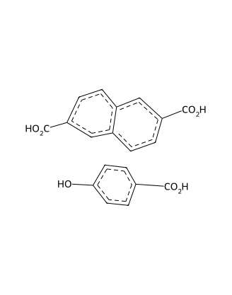 O=C(O)c1ccc(O)cc1.O=C(O)c1ccc2cc(C(=O)O)ccc2c1